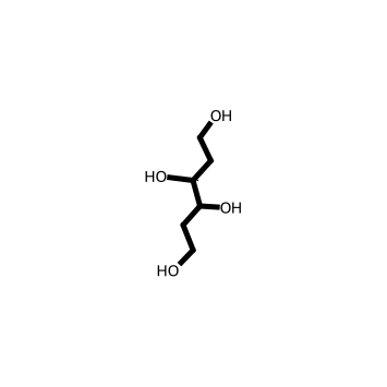 OCC[C](O)C(O)CCO